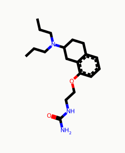 CCCN(CCC)C1CCc2cccc(OCCNC(N)=O)c2C1